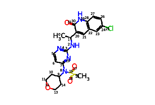 C[C@H](Nc1nccc(N(C2CCOCC2)S(C)(=O)=O)n1)c1cc2cc(Cl)ccc2[nH]c1=O